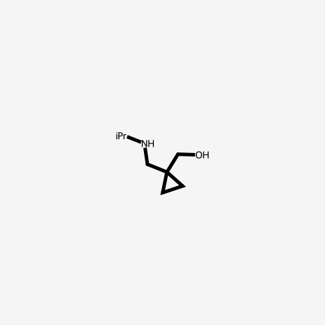 CC(C)NCC1(CO)CC1